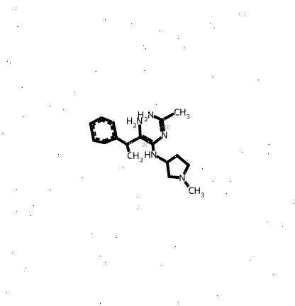 C/C(N)=N/C(NC1CCN(C)C1)=C(\N)C(C)c1ccccc1